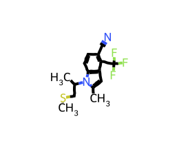 CSCC(C)n1c(C)cc2c(C(F)(F)F)c(C#N)ccc21